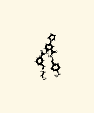 COc1ccc(/C=N/NC(=O)c2cc(N3CCCC3)ccc2NC(=O)c2cccc(CSCCO)c2)cc1